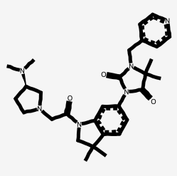 CN(C)[C@@H]1CCN(CC(=O)N2CC(C)(C)c3ccc(N4C(=O)N(Cc5ccncc5)C(C)(C)C4=O)cc32)C1